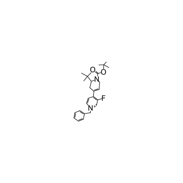 CC(C)(C)OC(=O)N1CC=C(c2cc[n+](Cc3ccccc3)cc2F)CC1C(C)(C)C